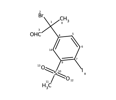 CC(Br)(C=O)c1ccc(I)c(S(C)(=O)=O)c1